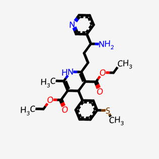 CCOC(=O)C1=C(C)NC(CCC(N)c2cccnc2)=C(C(=O)OCC)C1c1cccc(SC)c1